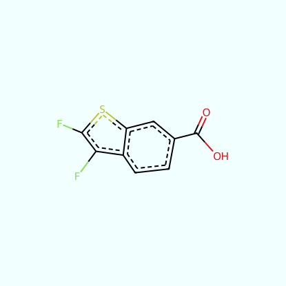 O=C(O)c1ccc2c(F)c(F)sc2c1